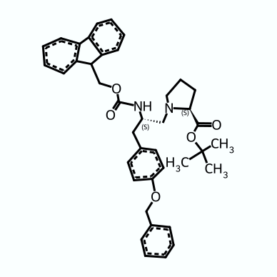 CC(C)(C)OC(=O)[C@@H]1CCCN1C[C@H](Cc1ccc(OCc2ccccc2)cc1)NC(=O)OCC1c2ccccc2-c2ccccc21